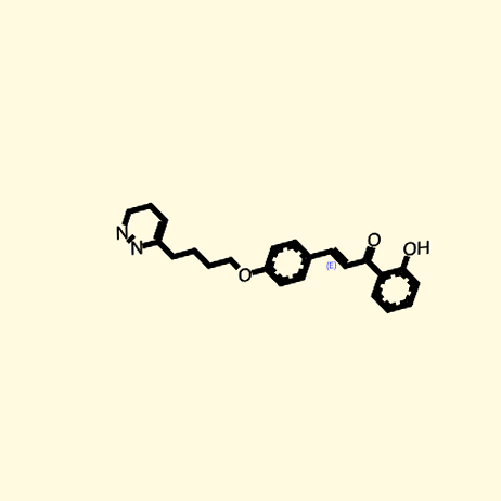 O=C(/C=C/c1ccc(OCCCCC2=CCCN=N2)cc1)c1ccccc1O